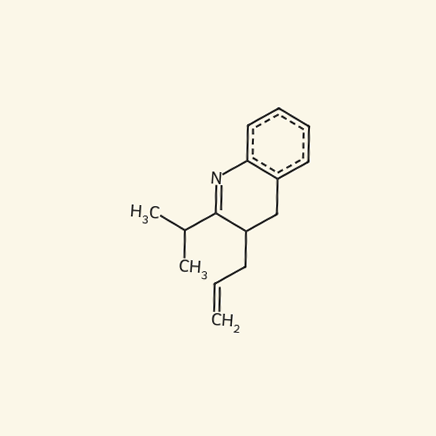 C=CCC1Cc2ccccc2N=C1C(C)C